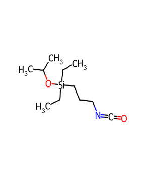 CC[Si](CC)(CCCN=C=O)OC(C)C